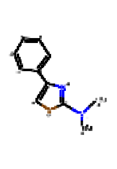 CCCCN(CCCC)c1nc(-c2ccccc2)cs1